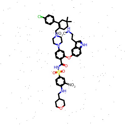 CC1(C)CCC(CN2CCN(c3ccc(C(=O)NS(=O)(=O)c4ccc(NCC5CCOCC5)c([N+](=O)[O-])c4)c(Oc4ccc5[nH]cc(CCNC(=O)O)c5c4)c3)CC2)=C(c2ccc(Cl)cc2)C1